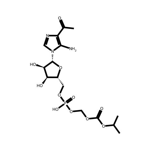 CC(=O)c1ncn([C@@H]2O[C@H](COP(=O)(O)OCOC(=O)OC(C)C)[C@@H](O)[C@H]2O)c1N